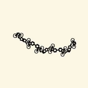 O=C1C=CC(=O)N1CC1CC2C3CC(CN4C(=O)c5ccc(-c6ccc7c(c6)C(=O)N(CC6CC8C9CC(CN%10C(=O)c%11ccc(-c%12ccc%13c(c%12)C(=O)N(CC%12CC%14CC%12C%12CC(CN%15C(=O)C=CC%15=O)CC%14%12)C%13=O)cc%11C%10=O)C(C9)C8C6)C7=O)cc5C4=O)C(C3)C2C1